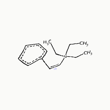 CC[Si](/C=C\c1ccccc1)(CC)CC